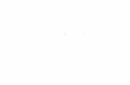 CCOC(=O)c1oc(C(C)(C)O)nc1Cl